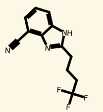 N#Cc1cccc2[nH]c(CCCC(F)(F)F)nc12